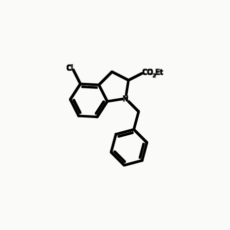 CCOC(=O)C1Cc2c(Cl)cccc2N1Cc1ccccc1